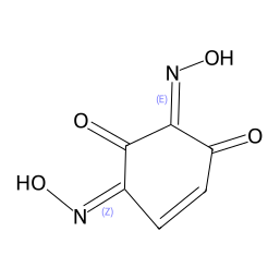 O=c1cc/c(=N/O)c(=O)/c1=N/O